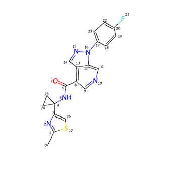 Cc1nc(C2(NC(=O)c3cncc4c3cnn4-c3ccc(F)cc3)CC2)cs1